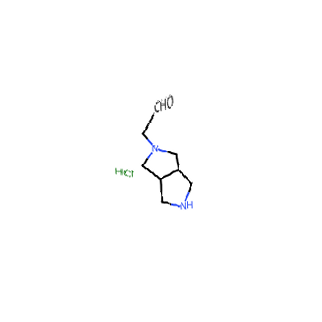 Cl.O=CCN1CC2CNCC2C1